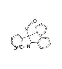 O=C=NC(c1ccccc1)C(N=C=O)(c1ccccc1)c1ccccc1